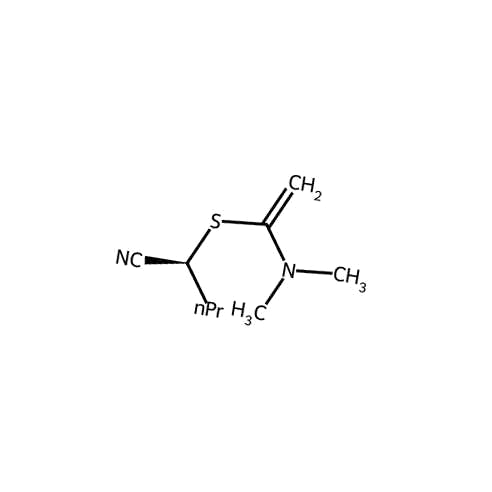 C=C(S[C@H](C#N)CCC)N(C)C